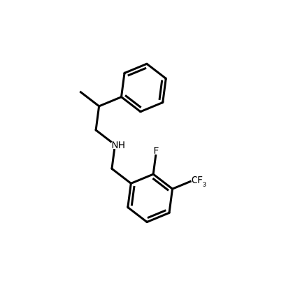 CC(CNCc1cccc(C(F)(F)F)c1F)c1ccccc1